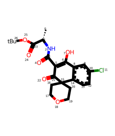 C[C@H](NC(=O)C1=C(O)c2cc(Cl)ccc2C2(CCOCC2)C1=O)C(=O)OC(C)(C)C